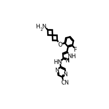 N#Cc1cnc(Nc2cc(-c3c(F)cccc3OC3CC4(CC(N)C4)C3)[nH]n2)cn1